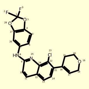 FC1(F)Oc2ccc(Nc3ccc4ccc(C5=CCOCC5)c(Cl)c4n3)cc2O1